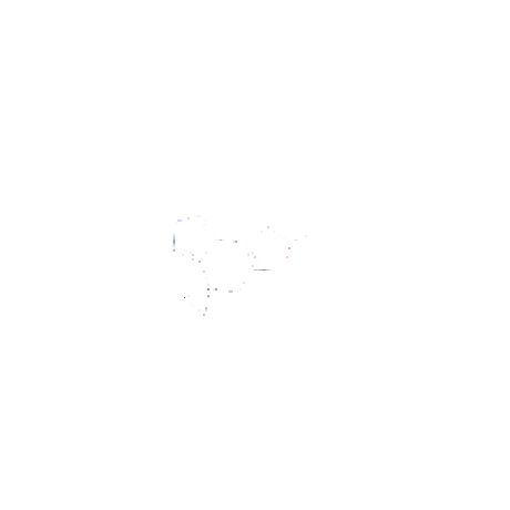 CCOC(=O)c1oc2c(c1C(F)(F)F)-c1n[nH]cc1C1(CC1)C2